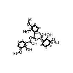 CCOc1cccc(B(O)OB(OB(O)c2cccc(OCC)c2O)c2cccc(OCC)c2O)c1O